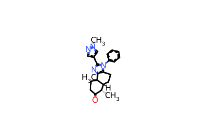 C[C@@H]1C(=O)CC[C@]2(C)c3nc(-c4cnn(C)c4)n(-c4ccccc4)c3CC[C@@H]12